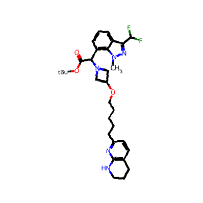 Cn1nc(C(F)F)c2cccc(C(C(=O)OC(C)(C)C)N3CC(OCCCCCc4ccc5c(n4)NCCC5)C3)c21